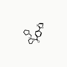 O=C(c1ccc(-c2nccs2)cc1)N1CCC[C@H]1CN1CCCC1